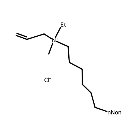 C=CC[N+](C)(CC)CCCCCCCCCCCCCCC.[Cl-]